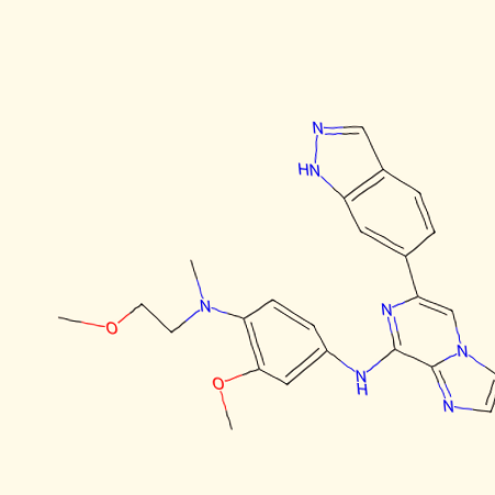 COCCN(C)c1ccc(Nc2nc(-c3ccc4cn[nH]c4c3)cn3ccnc23)cc1OC